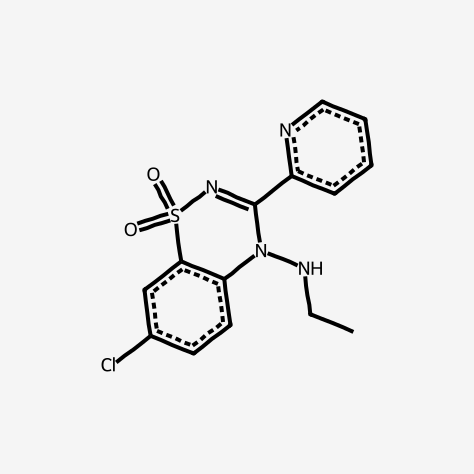 CCNN1C(c2ccccn2)=NS(=O)(=O)c2cc(Cl)ccc21